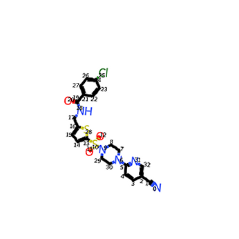 N#Cc1ccc(N2CCN(S(=O)(=O)c3ccc(CNC(=O)c4ccc(Cl)cc4)s3)CC2)nc1